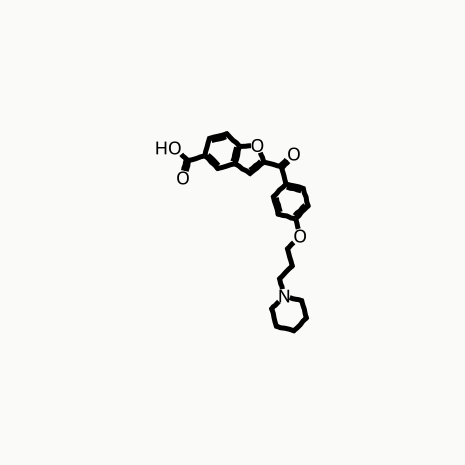 O=C(O)c1ccc2oc(C(=O)c3ccc(OCCCN4CCCCC4)cc3)cc2c1